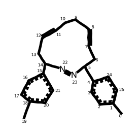 Cc1ccc(C2C/C=C/CC/C=C/CC(c3ccc(C)cc3)/N=N/2)cc1